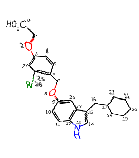 O=C(O)COc1ccc(COc2ccc3[nH]cc(CC4CCCCC4)c3c2)c(Br)c1